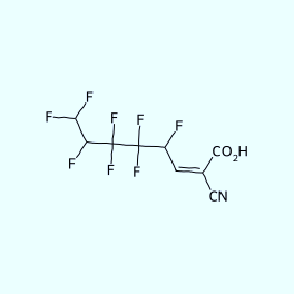 N#CC(=CC(F)C(F)(F)C(F)(F)C(F)C(F)F)C(=O)O